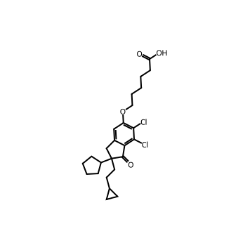 O=C(O)CCCCCOc1cc2c(c(Cl)c1Cl)C(=O)C(CCC1CC1)(C1CCCC1)C2